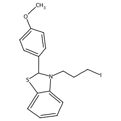 COc1ccc(C2Sc3ccccc3N2CCCI)cc1